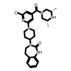 C[C@@H]1CN(C(=O)c2cc(Cl)nc(N3CCC(N4CCc5ccccc5NC4=O)CC3)c2)C[C@H](C)N1